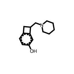 Oc1ccc2c(c1)C(CN1CCCCC1)C2